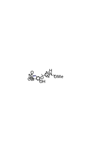 COCCNc1ncc(C(C)Oc2cc(/C=C3\SC(=O)N(C)C3=O)c(Br)cc2O)cn1